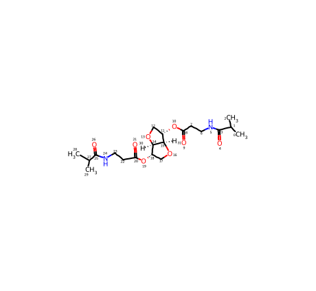 CC(C)C(=O)NCCC(=O)O[C@H]1CO[C@H]2[C@@H]1OC[C@@H]2OC(=O)CCNC(=O)C(C)C